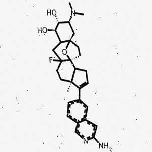 CN(C)[C@H]1C[C@@]23CC[C@]4(O2)C2CC=C(c5ccc6cnc(N)cc6c5)[C@@]2(C)CCC4(F)CC3[C@@H](O)[C@@H]1O